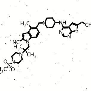 Cc1c(CN2CCC(Nc3ncnc4sc(CC(F)(F)F)cc34)CC2)ccc2c1cc(C#N)n2CC(C)(C)N1CCN(S(C)(=O)=O)CC1